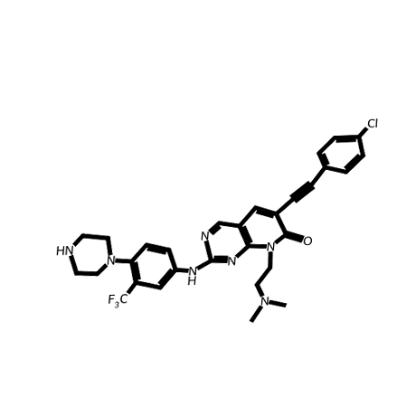 CN(C)CCn1c(=O)c(C#Cc2ccc(Cl)cc2)cc2cnc(Nc3ccc(N4CCNCC4)c(C(F)(F)F)c3)nc21